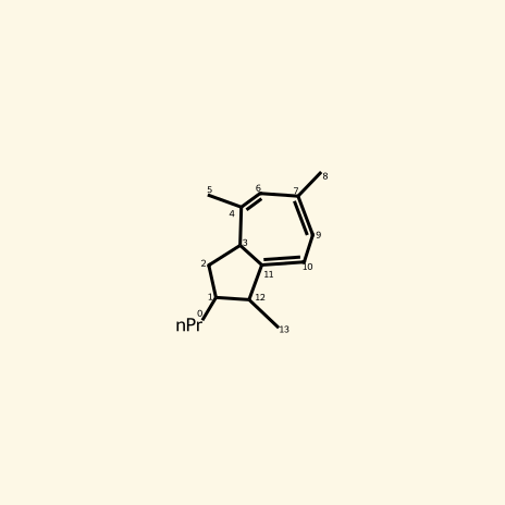 CCCC1CC2C(C)=CC(C)=CC=C2C1C